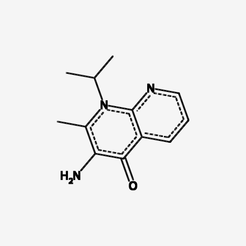 Cc1c(N)c(=O)c2cccnc2n1C(C)C